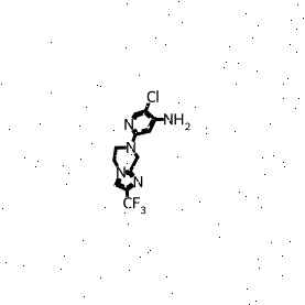 Nc1cc(N2CCn3cc(C(F)(F)F)nc3C2)ncc1Cl